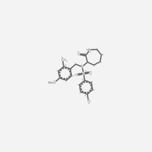 COc1ccc(CN(C2CCCCNC2=O)S(=O)(=O)c2ccc(Cl)cc2)c(C)c1